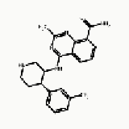 Cc1nc(NC2CNCC[C@@H]2c2cccc(C(F)(F)F)c2)c2cccc(C(N)=O)c2n1